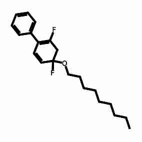 CCCCCCCCCOC1(F)C=CC(c2ccccc2)=C(F)C1